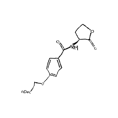 CCCCCCCCCCCOc1ccc(C(=O)N[C@H]2CCOC2=O)cc1